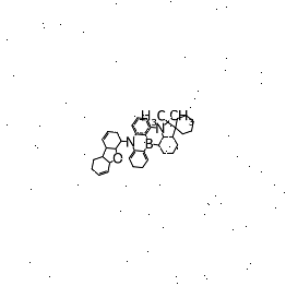 CC1(C)N2c3cccc4c3B(C3=CCCC=C3N4C3CC=CC4C5CCC=CC5OC43)C3CCCC(C32)C12CCCCC2